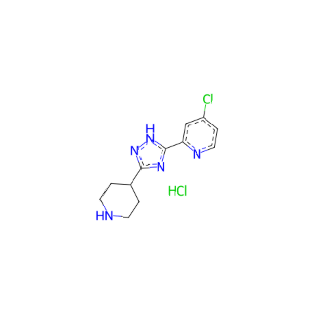 Cl.Clc1ccnc(-c2nc(C3CCNCC3)n[nH]2)c1